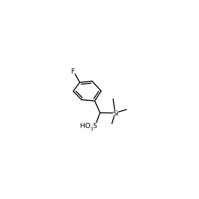 C[Si](C)(C)C(c1ccc(F)cc1)S(=O)(=O)O